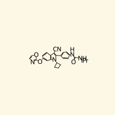 CC(C)NC(=O)Nc1ccc(-c2c(C#N)c3ccc(Oc4ncco4)cc3n2C2CCC2)cc1